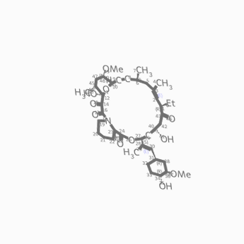 CC[C@@H]1/C=C(\C)C[C@H](C)CC[C@H]2O[C@@](O)(C(=O)C(=O)N3CCCC[C@H]3C(=O)O[C@H](/C(C)=C/[C@@H]3CC[C@@H](O)[C@H](OC)C3)C[C@@H](O)CC1=O)[C@H](C)C[C@@H]2OC